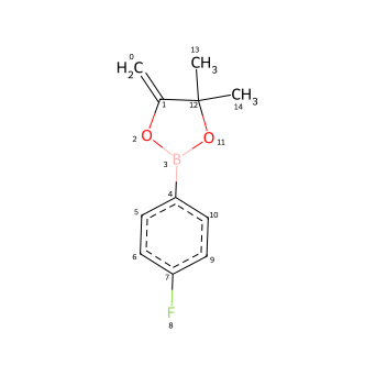 C=C1OB(c2ccc(F)cc2)OC1(C)C